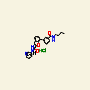 CCCCNC(=O)c1cccc(-c2cccc3cc(C(=O)N[C@@H]4CN5CCC4CC5)oc23)c1.Cl